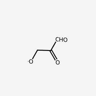 [O]CC(=O)C=O